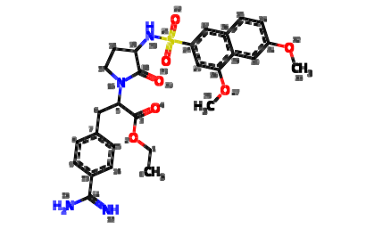 CCOC(=O)C(Cc1ccc(C(=N)N)cc1)N1CCC(NS(=O)(=O)c2cc(OC)c3cc(OC)ccc3c2)C1=O